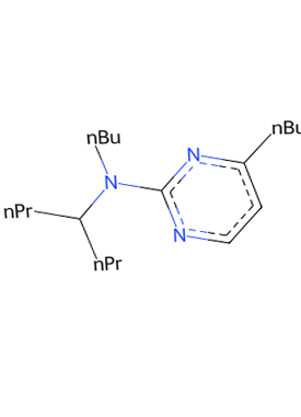 CCCCc1ccnc(N(CCCC)C(CCC)CCC)n1